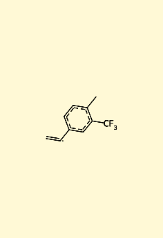 C=[C]c1ccc(C)c(C(F)(F)F)c1